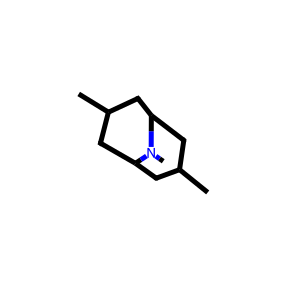 CC1CC2CC(C)CC(C1)N2C